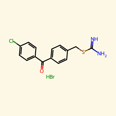 Br.N=C(N)SCc1ccc(C(=O)c2ccc(Cl)cc2)cc1